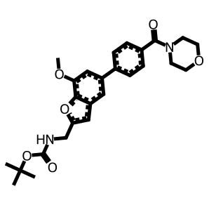 COc1cc(-c2ccc(C(=O)N3CCOCC3)cc2)cc2cc(CNC(=O)OC(C)(C)C)oc12